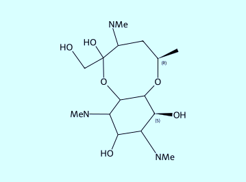 CNC1C(O)C(NC)[C@H](O)C2O[C@H](C)CC(NC)C(O)(CO)OC12